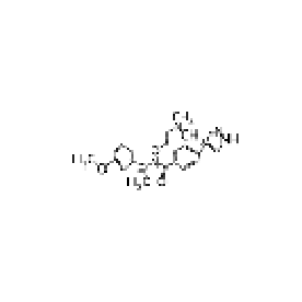 COc1cccc([C@@H](C)N(OCCN(C)C)C(=O)c2ccc(-c3cn[nH]c3)cc2)c1